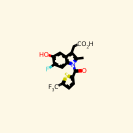 Cc1c(CC(=O)O)c2cc(O)c(F)cc2n1C(=O)c1ccc(C(F)(F)F)s1